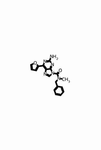 CN(Cc1ccccc1)C(=O)n1cnc2c(-c3ccco3)nc(N)nc21